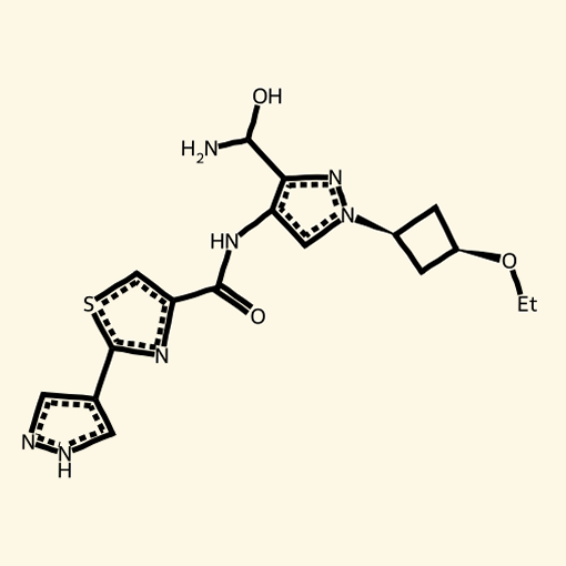 CCO[C@H]1C[C@@H](n2cc(NC(=O)c3csc(-c4cn[nH]c4)n3)c(C(N)O)n2)C1